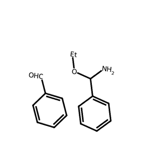 CCOC(N)c1ccccc1.O=Cc1ccccc1